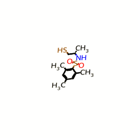 Cc1cc(C)c(S(=O)(=O)N[C@H](C)CS)c(C)c1